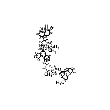 Cc1ccc([C@@](O)(C(=O)O[C@H]2CC[C@H](N(C)CCCn3nnc4cc(CNCC(O[Si](C)(C)C(C)(C)C)c5ccc(O)c6[nH]c(=O)ccc56)c5c(c43)COC5)CC2)c2cccs2)s1